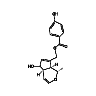 C[C@@H]1OC=C[C@H]2C(O)C=C(COC(=O)c3ccc(O)cc3)[C@@H]12